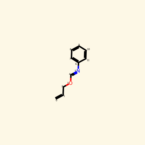 C=CCOC=Nc1ccccc1